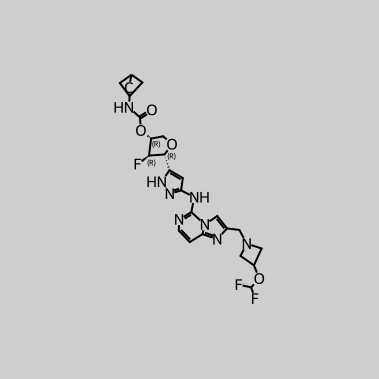 O=C(NC12CC(C1)C2)O[C@@H]1CO[C@H](c2cc(Nc3nccc4nc(CN5CC(OC(F)F)C5)cn34)n[nH]2)[C@H]1F